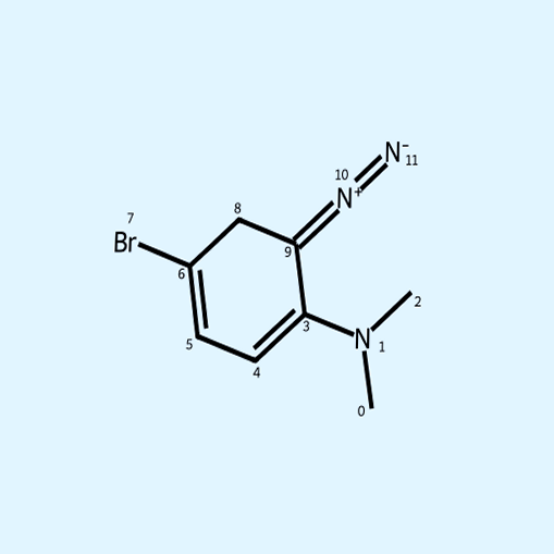 CN(C)C1=CC=C(Br)CC1=[N+]=[N-]